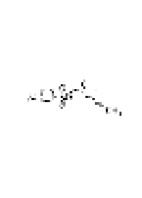 CC=CCCC(C)COS(=O)(=O)c1ccc(C)cc1